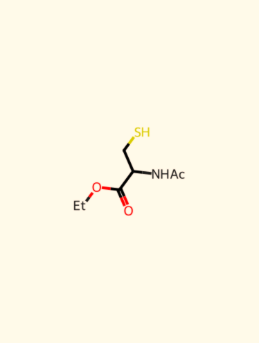 CCOC(=O)C(CS)NC(C)=O